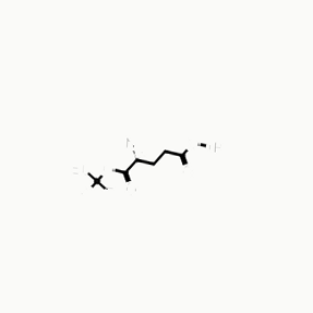 CCC(C)(CC)OC(=O)[C@@H](N)CCC(=O)OC(C)(C)C